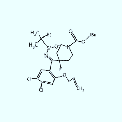 C=CCOc1cc(Cl)c(Cl)cc1/C(=N/[S+]([O-])C(C)(C)CC)C1(F)CCN(C(=O)OC(C)(C)C)CC1